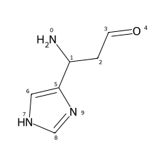 NC(CC=O)c1c[nH]cn1